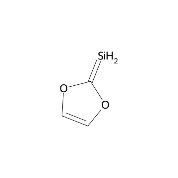 [SiH2]=C1OC=CO1